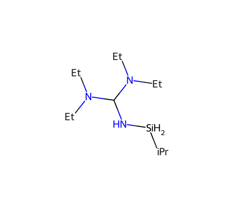 CCN(CC)C(N[SiH2]C(C)C)N(CC)CC